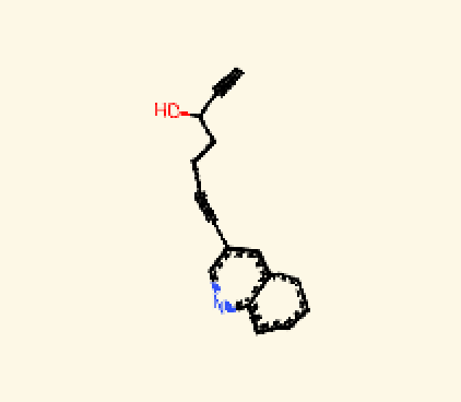 C#CC(O)CCC#Cc1cnc2ccccc2c1